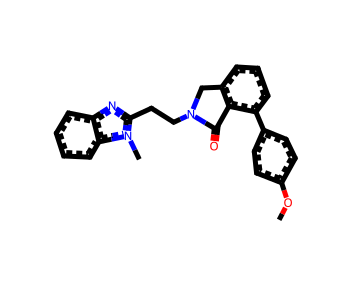 COc1ccc(-c2cccc3c2C(=O)N(CCc2nc4ccccc4n2C)C3)cc1